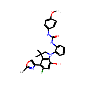 CC(C)c1nc(-c2c(F)cc(O)c3c2C(C)(C)CN3c2ccccc2NC(=O)Nc2ccc(OC(F)(F)F)cc2)co1